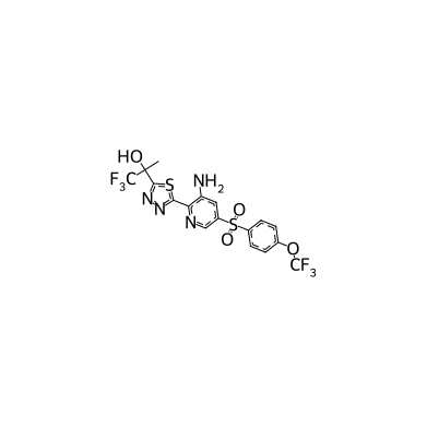 CC(O)(c1nnc(-c2ncc(S(=O)(=O)c3ccc(OC(F)(F)F)cc3)cc2N)s1)C(F)(F)F